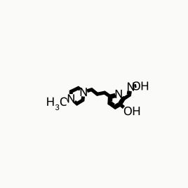 CN1CCN(CCCc2ccc(O)c(/C=N/O)n2)CC1